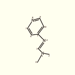 CN(C)C=Nc1ccncc1